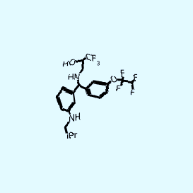 CC(C)CNc1cccc(C(NCC(O)C(F)(F)F)c2cccc(OC(F)(F)C(F)F)c2)c1